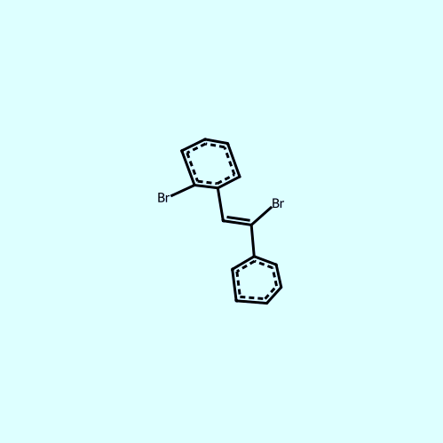 Br/C(=C\c1ccccc1Br)c1ccccc1